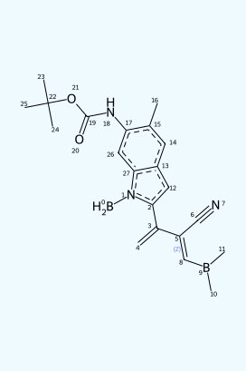 Bn1c(C(=C)/C(C#N)=C/B(C)C)cc2cc(C)c(NC(=O)OC(C)(C)C)cc21